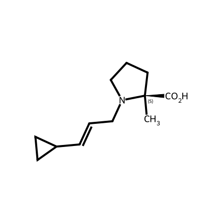 C[C@@]1(C(=O)O)CCCN1CC=CC1CC1